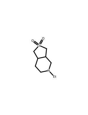 CCN1CCC2CS(=O)(=O)CC2C1